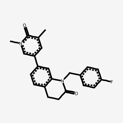 Cc1cc(-c2ccc3c(c2)N(Cc2ccc(F)cc2)C(=O)CC3)cn(C)c1=O